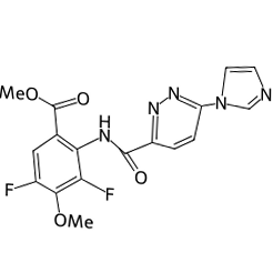 COC(=O)c1cc(F)c(OC)c(F)c1NC(=O)c1ccc(-n2ccnc2)nn1